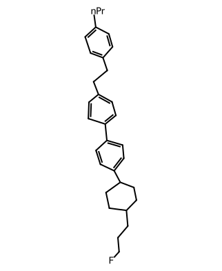 CCCc1ccc(CCc2ccc(-c3ccc(C4CCC(CCCF)CC4)cc3)cc2)cc1